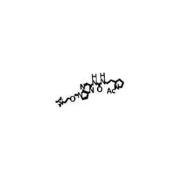 CC(=O)N1CCCC1CCNC(=O)Nc1cnc2c(ccn2COCC[Si](C)(C)C)n1